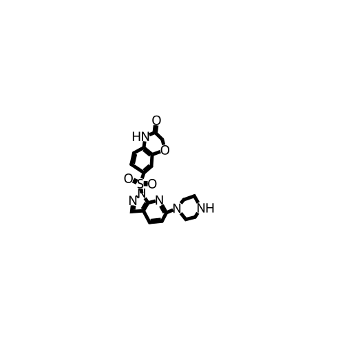 O=C1COc2cc(S(=O)(=O)n3ncc4ccc(N5CCNCC5)nc43)ccc2N1